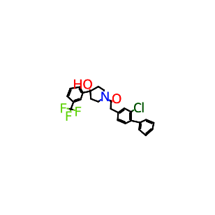 O=C(Cc1ccc(-c2ccccc2)c(Cl)c1)N1CCC(O)(c2cccc(C(F)(F)F)c2)CC1